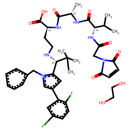 CC(C)[C@H](NC(=O)CN1C(=O)C=CC1=O)C(=O)N[C@@H](C)C(=O)N[C@@H](CCN[C@@H](c1cc(-c2cc(F)ccc2F)cn1Cc1ccccc1)C(C)(C)C)C(=O)O.OCCO